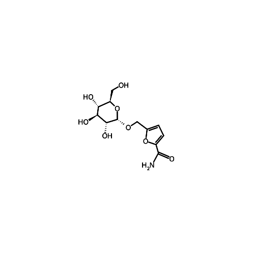 NC(=O)c1ccc(CO[C@H]2O[C@H](CO)[C@@H](O)[C@H](O)[C@H]2O)o1